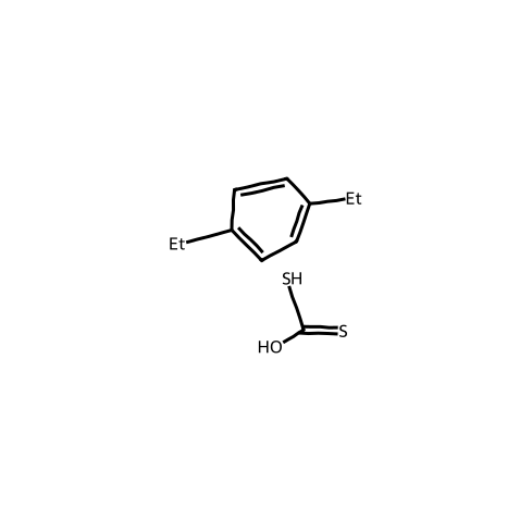 CCc1ccc(CC)cc1.OC(=S)S